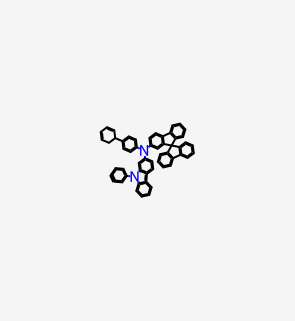 c1ccc(-n2c3ccccc3c3ccc(N(c4ccc(C5C=CC=CC5)cc4)c4ccc5c(c4)C4(c6ccccc6-c6ccccc64)c4ccccc4-5)cc32)cc#1